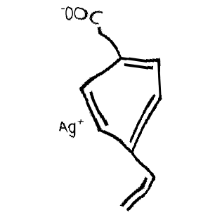 C=Cc1ccc(C(=O)[O-])cc1.[Ag+]